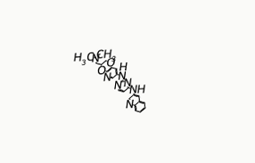 CN(C)CC1COc2cc(Nc3nccc(Nc4cnc5ccccc5c4)n3)cnc2O1